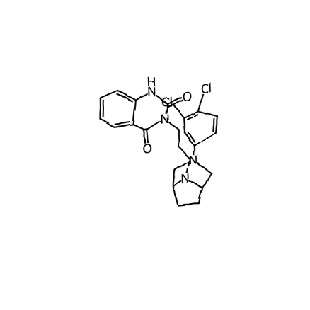 O=c1[nH]c2ccccc2c(=O)n1CCCN1C2CCC1CN(c1ccc(Cl)c(Cl)c1)C2